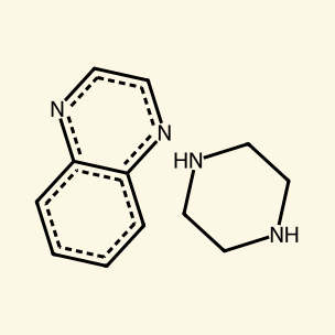 C1CNCCN1.c1ccc2nccnc2c1